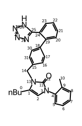 CCCCc1cn(-c2ccccc2C)c(=O)n1Cc1ccc(-c2ccccc2-c2nnn[nH]2)cc1